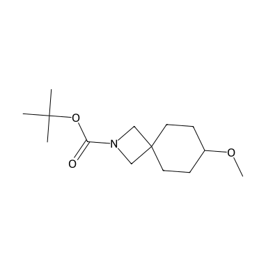 COC1CCC2(CC1)CN(C(=O)OC(C)(C)C)C2